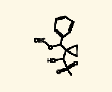 CS(=O)(=O)C(O)C1(C(OC=O)c2ccccc2)CC1